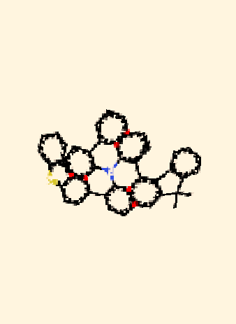 CC1(C)c2ccccc2-c2c(-c3ccccc3N(c3ccccc3-c3ccccc3)c3ccccc3-c3ccc4sc5ccccc5c4c3)cccc21